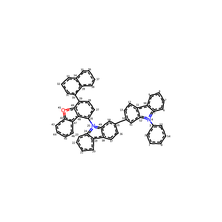 c1ccc(-n2c3ccccc3c3ccc(-c4ccc5c6ccccc6n(-c6ccc(-c7cccc8ccccc78)c7oc8ccccc8c67)c5c4)cc32)cc1